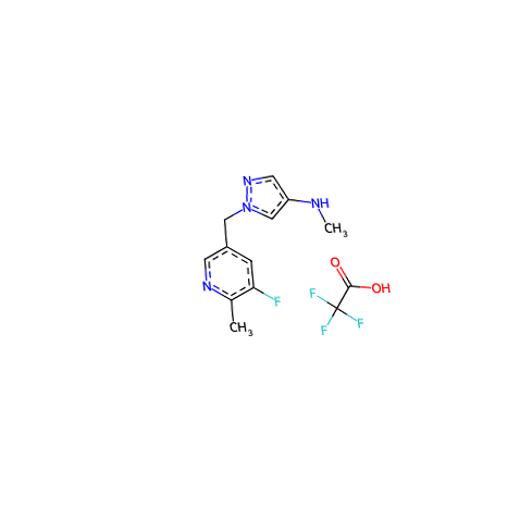 CNc1cnn(Cc2cnc(C)c(F)c2)c1.O=C(O)C(F)(F)F